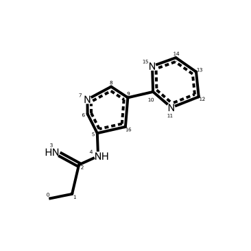 CCC(=N)Nc1cncc(-c2ncccn2)c1